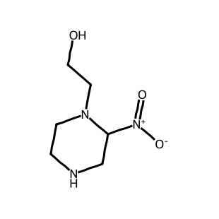 O=[N+]([O-])C1CNCCN1CCO